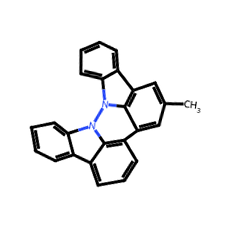 Cc1cc2c3ccccc3n3c2c(c1)c1cccc2c4ccccc4n3c21